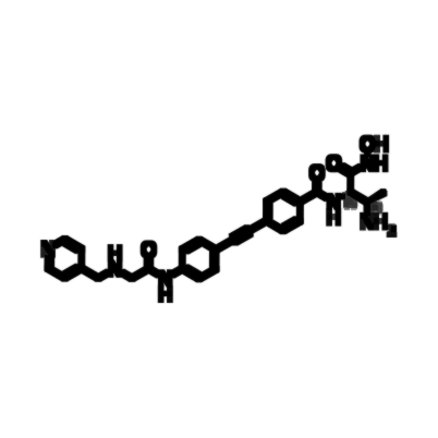 C[C@@H](N)[C@H](NC(=O)c1ccc(C#Cc2ccc(NC(=O)CNCc3ccncc3)cc2)cc1)C(=O)NO